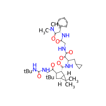 CN(C)C(=O)[C@@H](NC(=O)CNC(=O)C(=O)C(CC1CC1)NC(=O)[C@H]1C(C(=O)[C@@H](NC(=O)NC(C)(C)C)C(C)(C)C)C[C@H]2[C@@H]1C2(C)C)c1ccccc1